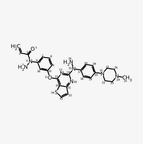 C=CC(=O)N(N)c1cccc(Oc2nc(N(N)c3ccc(N4CCN(C)CC4)cc3)nc3ccsc23)c1